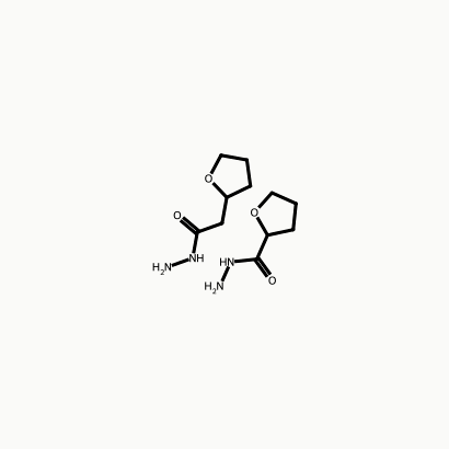 NNC(=O)C1CCCO1.NNC(=O)CC1CCCO1